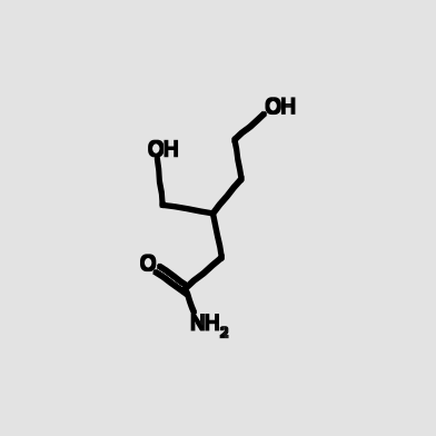 NC(=O)CC(CO)CCO